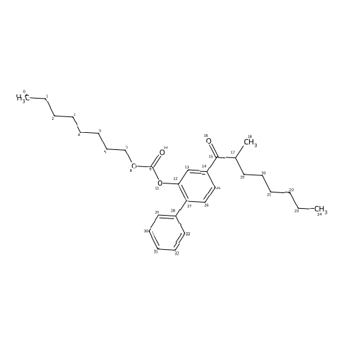 CCCCCCCCOC(=O)Oc1cc(C(=O)C(C)CCCCCC)ccc1-c1ccccc1